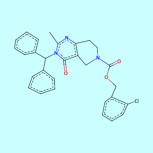 Cc1nc2c(c(=O)n1C(c1ccccc1)c1ccccc1)CN(C(=O)OCc1ccccc1Cl)CC2